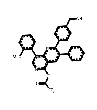 COc1ccccc1-c1cnc(OC(=O)C(F)(F)F)c2cc(-c3ccccc3)c(-c3ccc(CN)cc3)nc12